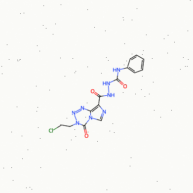 O=C(NNC(=O)c1ncn2c(=O)n(CCCl)nnc12)Nc1ccccc1